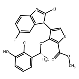 COC(=O)c1scc(-n2c(Cl)nc3ccc(F)cc32)c1O[C@H](C)c1cccc(O)c1Cl